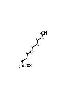 CCCCCCCCCOCCCCC#N